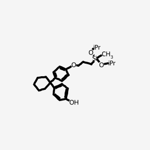 CC(C)O[Si](C)(CCCOc1ccc(C2(c3ccc(O)cc3)CCCCC2)cc1)OC(C)C